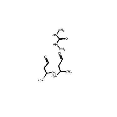 CC(C)CC=O.CC(C)CC=O.NNC(=O)NN